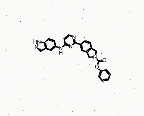 O=C(Oc1ccccc1)N1Cc2ccc(-c3nccc(Nc4ccc5[nH]ncc5c4)n3)cc2C1